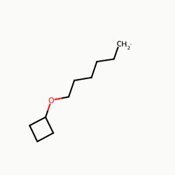 [CH2]CCCCCOC1CCC1